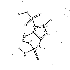 CCS(=O)(=O)c1c(Cl)c(OP(=O)(OC)OC)nn1C